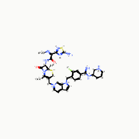 CO/N=C(\C(=O)N[C@@H]1C(=O)N2C(C(=O)[O-])=C(C[n+]3ccc4ccn(Cc5ccc(C(=N)NC6CCCNC6)cc5F)c4c3)CS[C@H]12)c1nsc(N)n1